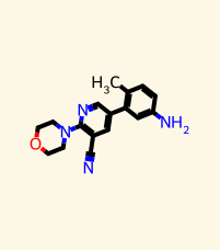 Cc1ccc(N)cc1-c1cnc(N2CCOCC2)c(C#N)c1